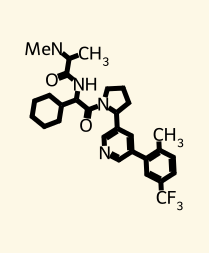 CNC(C)C(=O)NC(C(=O)N1CCCC1c1cncc(-c2cc(C(F)(F)F)ccc2C)c1)C1CCCCC1